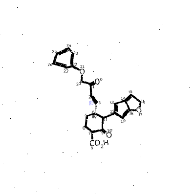 O=C(/C=C/[C@H]1CCC(C(=O)O)C(=O)C1C1=CC2=CCOC2=C1)COc1ccccc1